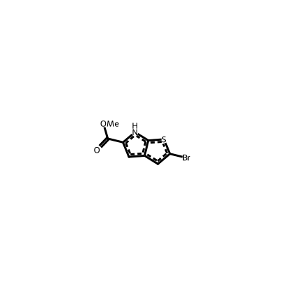 COC(=O)c1cc2cc(Br)sc2[nH]1